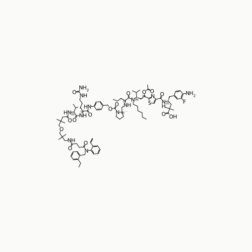 C=Cc1ccccc1N(Cc1ccccc1CC)C(=O)CCC(=O)NCC(C)(C)COCC(C)(C)CC(=O)N[C@H](C(=O)N[C@@H](CCCNC(N)=O)C(=O)Nc1ccc(COC(=O)N2CCC[C@]2(C)CN[C@@H](CCC)C(=O)N(CCCCCC)[C@H](C[C@@H](OC(C)=O)c2nc(C(=O)N[C@@H](Cc3ccc(N)c(F)c3)CC(C)(C)C(=O)O)cs2)C(C)C)cc1)C(C)C